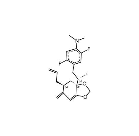 C=CC[C@H]1C[C@]2([C@@H](C)Cc3cc(F)c(N(C)C)cc3F)OCOC2=CC1=C